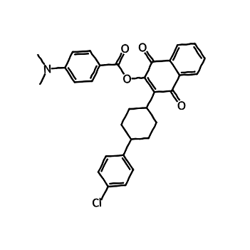 CN(C)c1ccc(C(=O)OC2=C(C3CCC(c4ccc(Cl)cc4)CC3)C(=O)c3ccccc3C2=O)cc1